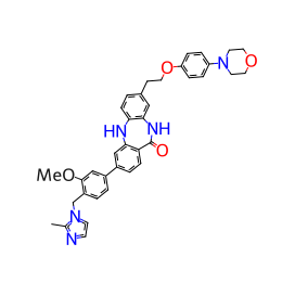 COc1cc(-c2ccc3c(c2)Nc2ccc(CCOc4ccc(N5CCOCC5)cc4)cc2NC3=O)ccc1Cn1ccnc1C